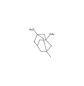 CC(=O)OC12CC3CC(C)(C1)CC(OC(C)=O)(C3)C2